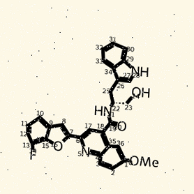 COc1ccc2nc(-c3cc4cccc(F)c4o3)cc(C(=O)N[C@@H](CO)Cc3c[nH]c4ccccc34)c2c1